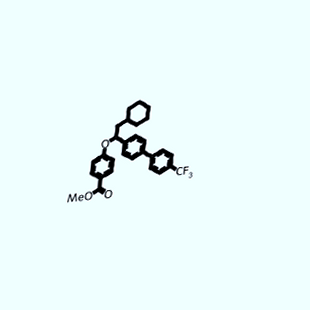 COC(=O)c1ccc(OC(CC2CCCCC2)c2ccc(-c3ccc(C(F)(F)F)cc3)cc2)cc1